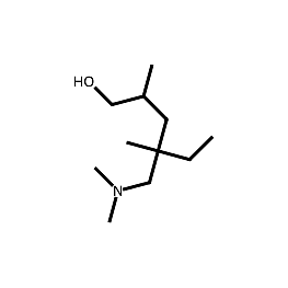 CCC(C)(CC(C)CO)CN(C)C